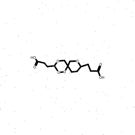 O=C(O)CCC1CCC2(CO1)COC(CCC(=O)O)OO2